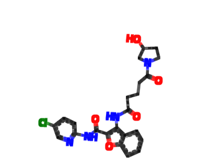 O=C(CCCC(=O)N1CCC(O)C1)Nc1c(C(=O)Nc2ccc(Cl)cn2)oc2ccccc12